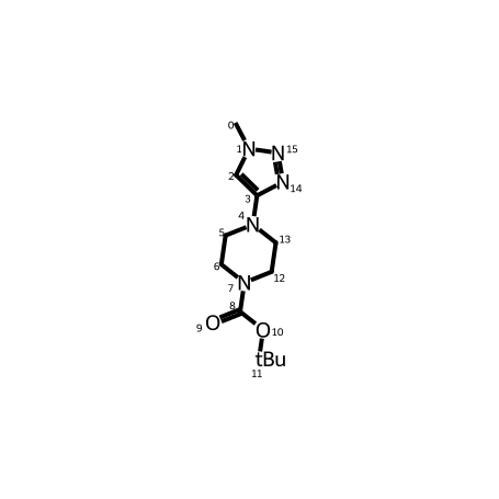 Cn1cc(N2CCN(C(=O)OC(C)(C)C)CC2)nn1